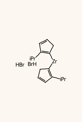 Br.Br.CC(C)C1=[C]([Zr][C]2=C(C(C)C)C=CC2)CC=C1